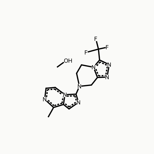 CO.Cc1nccn2c(N3CCn4c(nnc4C(F)(F)F)C3)ncc12